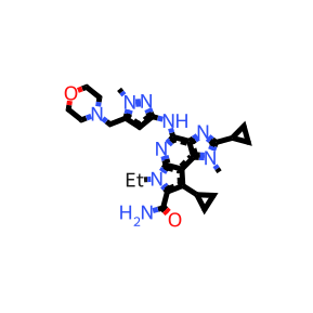 CCn1c(C(N)=O)c(C2CC2)c2c3c(nc(C4CC4)n3C)c(Nc3cc(CN4CCOCC4)n(C)n3)nc21